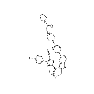 CCc1nc2ccc(-c3ccc(N4CCN(CC(=O)N5CCCC5)CC4)nc3)cn2c1N(C)c1nc(-c2ccc(F)cc2)c(C#N)s1